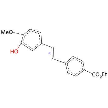 CCOC(=O)c1ccc(/C=C/c2ccc(OC)c(O)c2)cc1